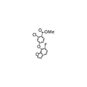 COC(=O)c1ccc(Oc2c(F)ccc3ccoc23)cc1Cl